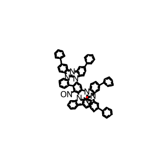 O=Nc1c(-c2ccccc2)c(-n2c3ccc(-c4ccccc4)cc3n3c4cc(-c5ccccc5)ccc4nc23)cc(-n2c3ccc(-c4ccccc4)cc3n3c4cc(-c5ccccc5)ccc4nc23)c1-n1c2ccccc2c2ccccc21